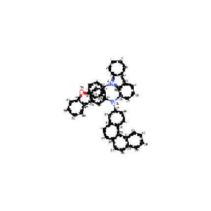 c1ccc(-n2c3ccccc3c3cccc(N(c4ccc5c(ccc6ccc7ccccc7c65)c4)c4ccc5oc6ccccc6c5c4)c32)cc1